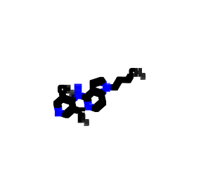 CCCCn1ccc2c(Nc3c(C)cncc3C)nccc21